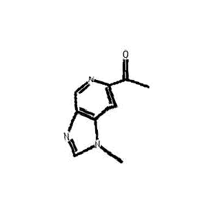 CC(=O)c1cc2c(cn1)ncn2C